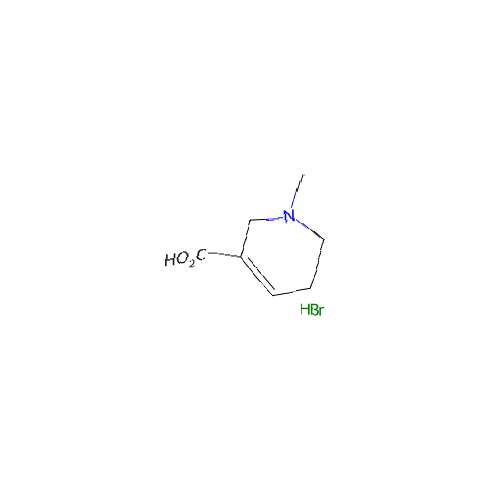 Br.CN1CCC=C(C(=O)O)C1